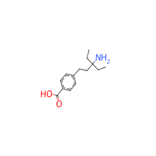 CCC(N)(CC)CCc1ccc(C(=O)O)cc1